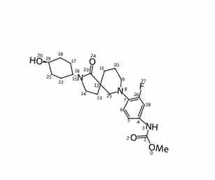 COC(=O)Nc1ccc(N2CCCC3(CCN([C@H]4CC[C@H](O)CC4)C3=O)C2)c(F)c1